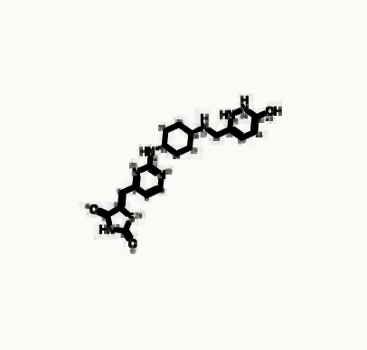 O=C1NC(=O)/C(=C/c2ccnc(N[C@H]3CC[C@H](NCC4=CC=C(O)NN4)CC3)n2)S1